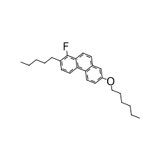 CCCCCCOc1ccc2c(ccc3c(F)c(CCCCC)ccc32)c1